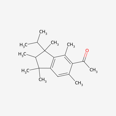 CC(=O)c1c(C)cc2c(c1C)C(C)(C(C)C)C(C)C2(C)C